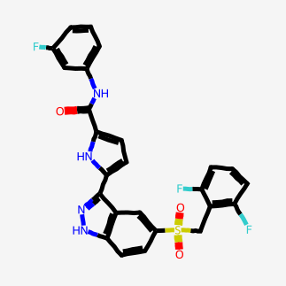 O=C(Nc1cccc(F)c1)c1ccc(-c2n[nH]c3ccc(S(=O)(=O)Cc4c(F)cccc4F)cc23)[nH]1